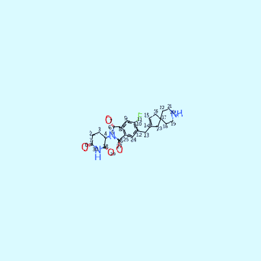 O=C1CCC(N2C(=O)c3cc(F)c(CC4=CCC5(CCNCC5)C4)cc3C2=O)C(=O)N1